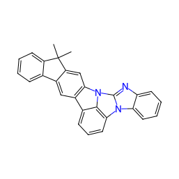 CC1(C)c2ccccc2-c2cc3c4cccc5c4n(c3cc21)c1nc2ccccc2n51